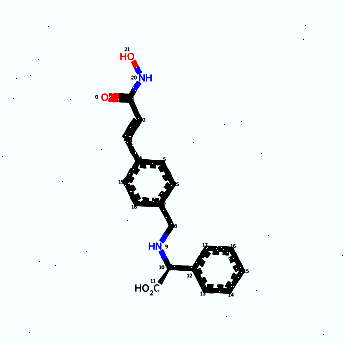 O=C(C=Cc1ccc(CN[C@H](C(=O)O)c2ccccc2)cc1)NO